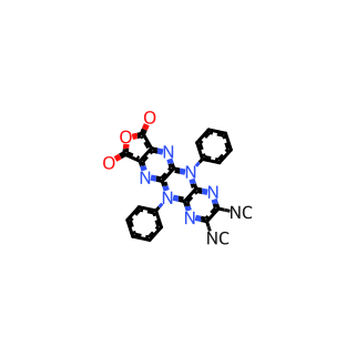 [C-]#[N+]c1nc2c(nc1[N+]#[C-])n(-c1ccccc1)c1nc3c(=O)oc(=O)c3nc1n2-c1ccccc1